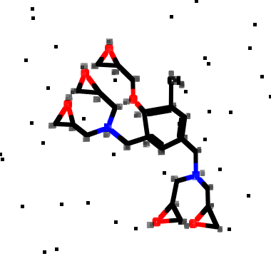 Cc1cc(CN(CC2CO2)CC2CO2)cc(CN(CC2CO2)CC2CO2)c1OCC1CO1